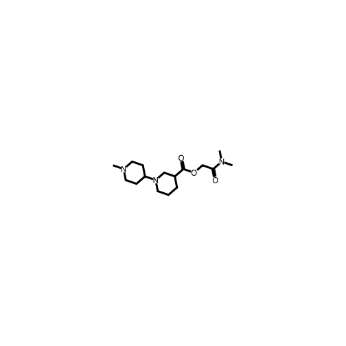 CN1CCC(N2CCCC(C(=O)OCC(=O)N(C)C)C2)CC1